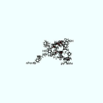 CCCCCOc1ccc(S(=O)(=O)NCCCNCc2c(O)cc3c(c2O)-c2cc(ccc2O)[C@H]2NC(=O)[C@@H]4NC(=O)[C@H](CC(N)=O)NC(=O)[C@H](NC(=O)[C@@H](CC(C)C)NC)[C@H](O)c5ccc(c(C)c5)Oc5cc4cc(c5O[C@@H]4O[C@H](CO)[C@@H](O)[C@H](O)[C@H]4O[C@H]4C[C@](C)(N)[C@H](O)[C@H](C)O4)Oc4ccc(cc4Cl)[C@@H](O)[C@H](NC2=O)C(=O)N[C@@H]3C(=O)NC2C3CC4CC(C3)CC2C4)cc1